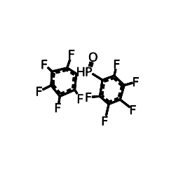 O=[PH](c1c(F)c(F)c(F)c(F)c1F)c1c(F)c(F)c(F)c(F)c1F